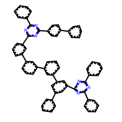 c1ccc(-c2ccc(-c3nc(-c4ccccc4)nc(-c4cccc(-c5cccc(-c6cccc(-c7cc(-c8ccccc8)cc(-c8nc(-c9ccccc9)nc(-c9ccccc9)n8)c7)c6)c5)c4)n3)cc2)cc1